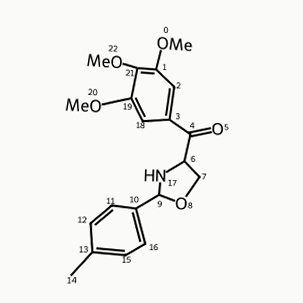 COc1cc(C(=O)C2COC(c3ccc(C)cc3)N2)cc(OC)c1OC